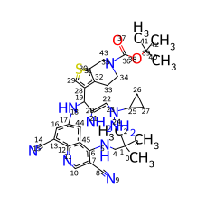 CC(C)(C)CNc1c(C#N)cnc2c(C#N)cc(NC(/C(N)=C/N(N)C3CC3)c3csc4c3CCN(C(=O)OC(C)(C)C)C4)cc12